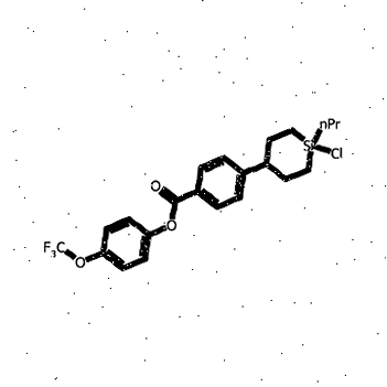 CCC[Si]1(Cl)CCC(c2ccc(C(=O)Oc3ccc(OC(F)(F)F)cc3)cc2)CC1